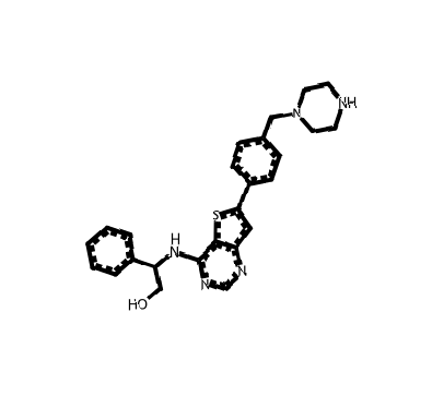 OCC(Nc1ncnc2cc(-c3ccc(CN4CCNCC4)cc3)sc12)c1ccccc1